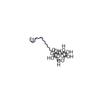 CC/C=C\C/C=C\C/C=C\CCCCCCCC(=O)O[C@@H]1[C@@H](O)[C@@H](O[C@H]2O[C@H](CO)[C@@H](O)[C@H](O)[C@H]2O)O[C@H](CO)[C@H]1O